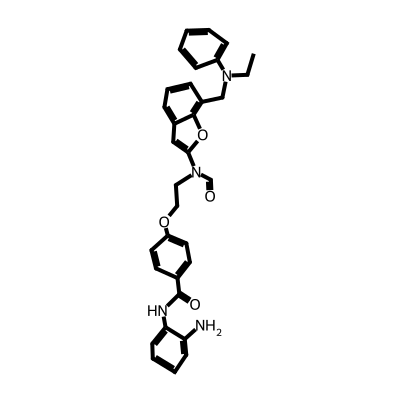 CCN(Cc1cccc2cc(N(C=O)CCOc3ccc(C(=O)Nc4ccccc4N)cc3)oc12)c1ccccc1